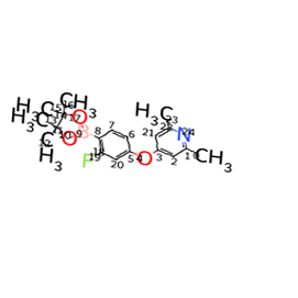 Cc1cc(Oc2ccc(B3OC(C)(C)C(C)(C)O3)c(F)c2)cc(C)n1